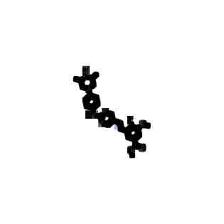 COC(=O)c1cc(/C=C/c2cnc(Nc3ccc(N4CC(C)NC(C)C4)cc3)nc2)c(F)c(OC)c1